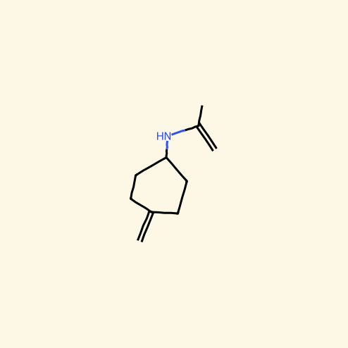 C=C1CCC(NC(=C)C)CC1